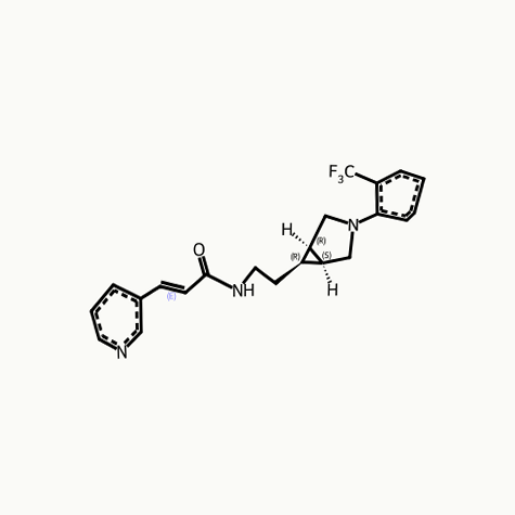 O=C(/C=C/c1cccnc1)NCC[C@H]1[C@H]2CN(c3ccccc3C(F)(F)F)C[C@@H]12